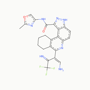 Cc1nc(NC(=O)c2n[nH]c3ccc4nc(/C(=C/N)C(=N)C(F)(F)F)c5c(c4c23)CCCC5)co1